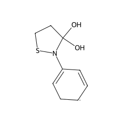 OC1(O)CCSN1C1=CC[CH]C=C1